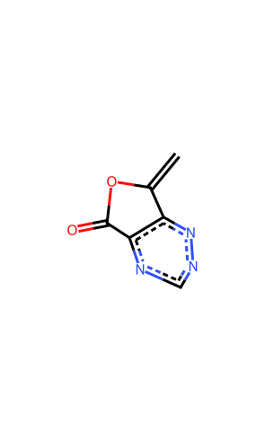 C=C1OC(=O)c2ncnnc21